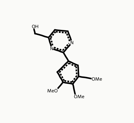 COc1cc(-c2nccc(CO)n2)cc(OC)c1OC